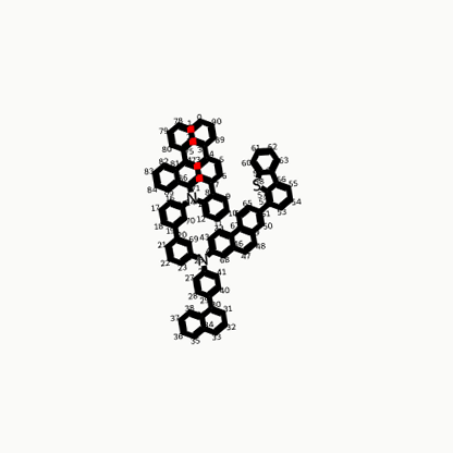 c1ccc(-c2ccc(-c3ccccc3N(c3cccc(-c4cccc(N(c5ccc(-c6cccc7ccccc67)cc5)c5ccc6c(ccc7cc(-c8cccc9c8sc8ccccc89)ccc76)c5)c4)c3)c3ccc(-c4ccccc4)c4ccccc34)cc2)cc1